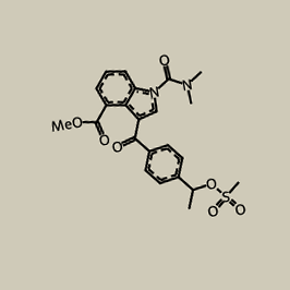 COC(=O)c1cccc2c1c(C(=O)c1ccc(C(C)OS(C)(=O)=O)cc1)cn2C(=O)N(C)C